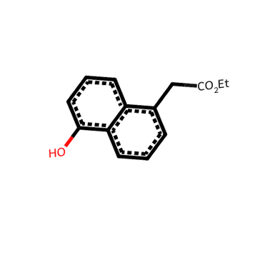 CCOC(=O)Cc1cccc2c(O)cccc12